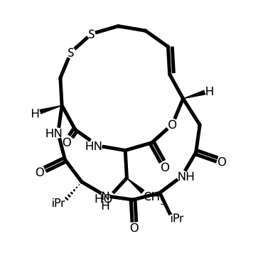 CC(C)C1NC(=O)C[C@H]2/C=C/CCSSC[C@@H](NC(=O)[C@@H](C(C)C)NC1=O)C(=O)NC([C@@H](C)O)C(=O)O2